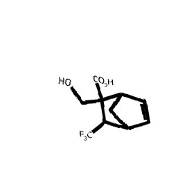 O=C(O)C1(CO)C2C=CC(C2)C1C(F)(F)F